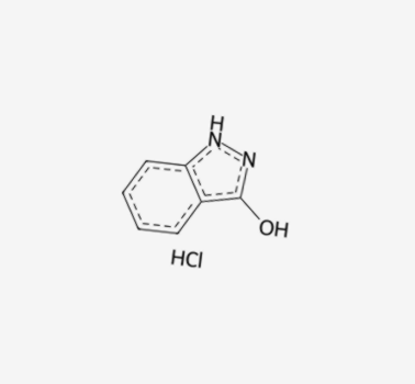 Cl.Oc1n[nH]c2ccccc12